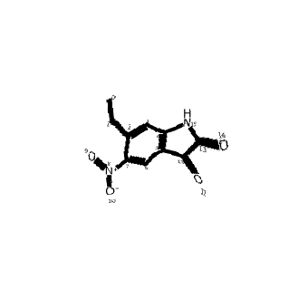 CCc1cc2c(cc1[N+](=O)[O-])C(=O)C(=O)N2